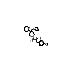 NC(Cc1ccc(Cl)cc1)C(=O)N1CCC(Cn2cccc2)(C2CCCCC2)CC1